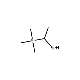 CC([SeH])[Si](C)(C)C